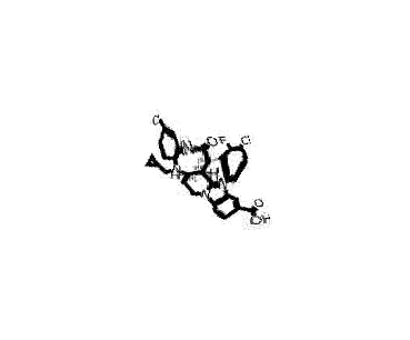 O=C(O)c1ccc2c(c1)nc1n2CC[C@@H]2[C@H]1[C@@H](c1cccc(Cl)c1F)C(=O)Nc1cc(Cl)ccc1N2CC1CC1